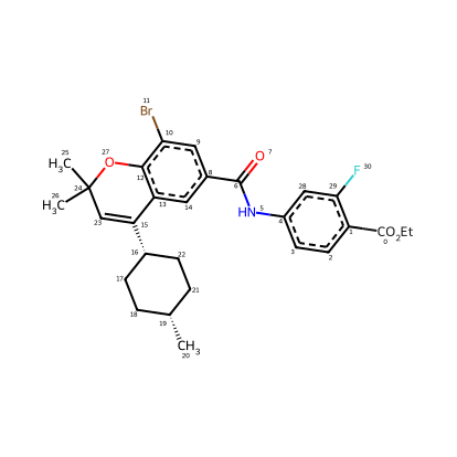 CCOC(=O)c1ccc(NC(=O)c2cc(Br)c3c(c2)C([C@H]2CC[C@@H](C)CC2)=CC(C)(C)O3)cc1F